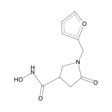 O=C(NO)C1CC(=O)N(Cc2ccco2)C1